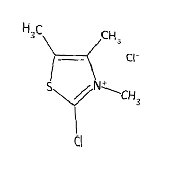 Cc1sc(Cl)[n+](C)c1C.[Cl-]